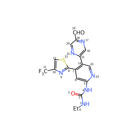 CCNC(=O)Nc1cc(-c2nc(C(F)(F)F)cs2)c(-c2cnc(C=O)cn2)cn1